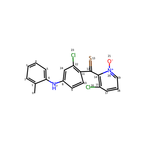 Cc1ccccc1Nc1ccc(C(=S)c2c(Cl)ccc[n+]2[O-])c(Cl)c1